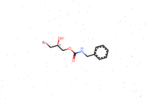 O=C(NCc1ccccc1)OC[C@H](O)CBr